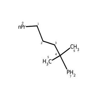 CCCCCCC(C)(C)P